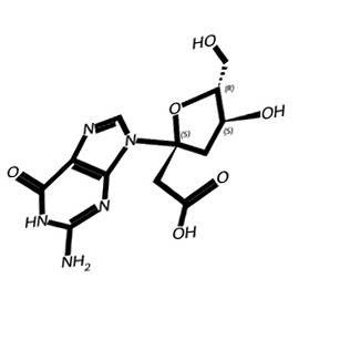 Nc1nc2c(ncn2[C@@]2(CC(=O)O)C[C@H](O)[C@@H](CO)O2)c(=O)[nH]1